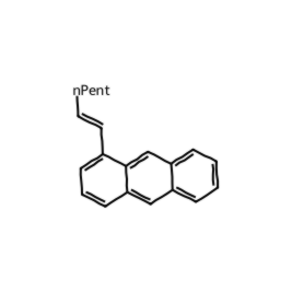 CCCCCC=Cc1cccc2cc3ccccc3cc12